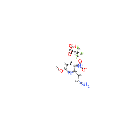 COc1ccc([N+](=O)[O-])c(CCN)n1.O=C(O)C(F)(F)F